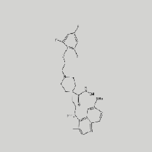 COc1ccc2ncc(C)c([C@H](F)CCC3(C(=O)NO)CCN(CCOc4c(F)cc(F)cc4F)CC3)c2c1